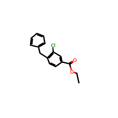 CCOC(=O)c1ccc(Cc2ccccc2)c(Cl)c1